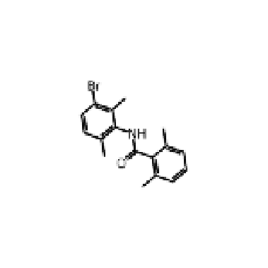 Cc1ccc(Br)c(C)c1NC(=O)c1c(C)cccc1C